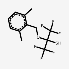 Cc1cccc(C)c1COC(S)(C(F)(F)F)C(F)(F)F